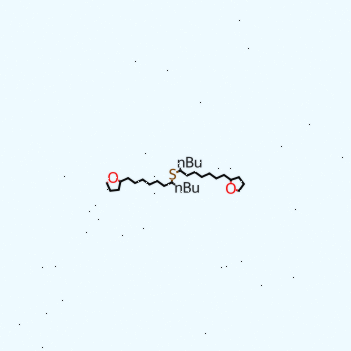 CCCCC(CCCCCCC1CCCO1)SC(CCCC)CCCCCCC1CCCO1